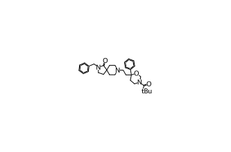 CC(C)(C)C(=O)N1CCC(CCN2CCC3(CC2)CCN(Cc2ccccc2)C3=O)(c2ccccc2)OC1